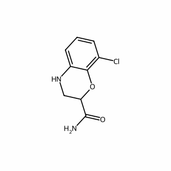 NC(=O)C1CNc2cccc(Cl)c2O1